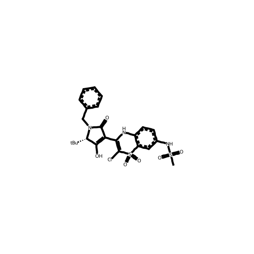 CC(C)(C)[C@H]1C(O)=C(C2=C(Cl)S(=O)(=O)c3cc(NS(C)(=O)=O)ccc3N2)C(=O)N1Cc1ccccc1